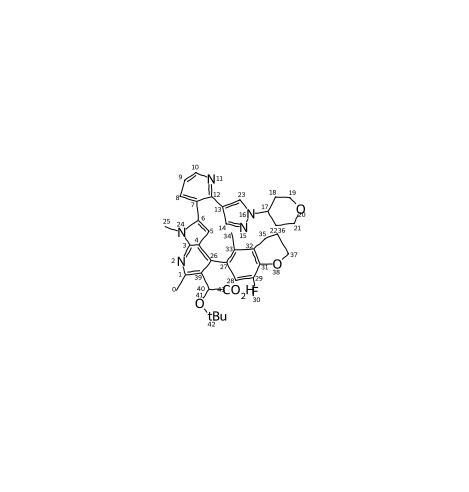 Cc1nc2c(cc(-c3cccnc3-c3cnn(C4CCOCC4)c3)n2C)c(-c2cc(F)c3c(c2C)CCCO3)c1C(OC(C)(C)C)C(=O)O